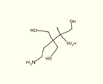 CC(CO)(C(CO)(CO)CCN)S(=O)(=O)O